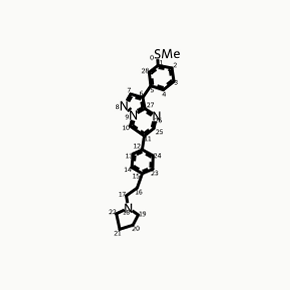 CSc1cccc(-c2cnn3cc(-c4ccc(CCN5CCCC5)cc4)cnc23)c1